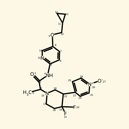 CC(C(=O)Nc1ccc(OCC2CC2)cn1)N1CCC(F)(F)C(c2cc[n+]([O-])cc2)C1